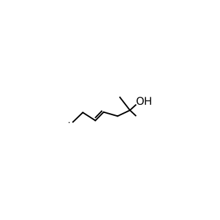 [CH2]CC=CCC(C)(C)O